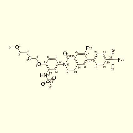 COCCOCOc1ccc(N2CCc3cc(-c4ccc(C(F)(F)F)cc4)c(F)cc3C2=O)cc1NS(C)(=O)=O